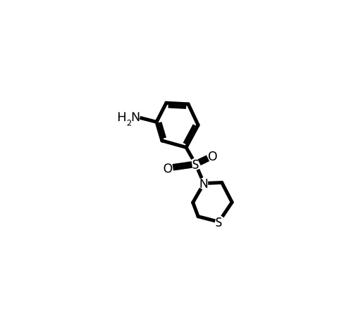 Nc1cccc(S(=O)(=O)N2CCSCC2)c1